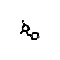 Cc1cc(F)ccc1CN1CCOCC1